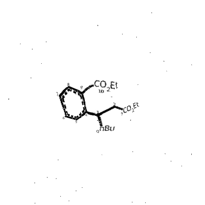 CCCCC(CC(=O)OCC)c1ccccc1C(=O)OCC